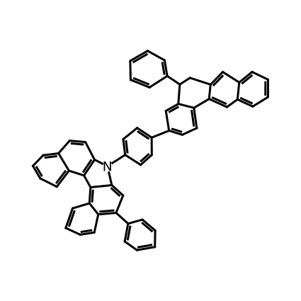 c1ccc(-c2cc3c(c4ccccc24)c2c4ccccc4ccc2n3-c2ccc(-c3ccc4c(c3)C(c3ccccc3)Cc3cc5ccccc5cc3-4)cc2)cc1